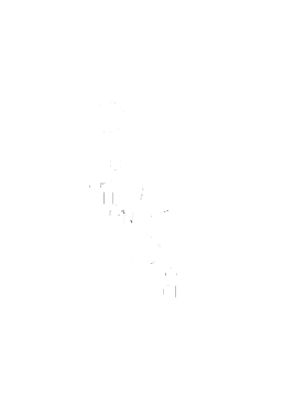 COc1ccc2c(c1)[C@@]13CCCC=C1[C@@H](C2)N(C(=O)OCc1ccccc1)CC3